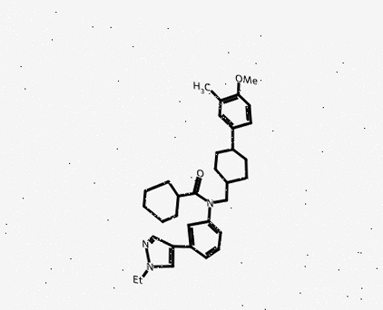 CCn1cc(-c2cccc(N(CC3CCC(c4ccc(OC)c(C)c4)CC3)C(=O)C3CCCCC3)c2)cn1